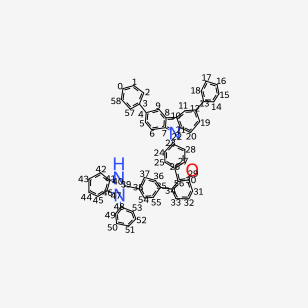 c1ccc(-c2ccc3c(c2)c2cc(-c4ccccc4)ccc2n3-c2ccc3c(c2)oc2cccc(-c4ccc(C5Nc6ccccc6N5c5ccccc5)cc4)c23)cc1